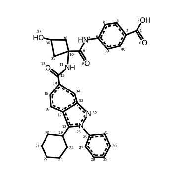 O=C(O)c1ccc(NC(=O)C2(NC(=O)c3ccc4c(C5CCCCC5)n(-c5ccccc5)nc4c3)CC(O)C2)cc1